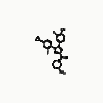 N#Cc1ccc(-c2cc(C(=O)N3CCCC(N)C3)nn2-c2ccc(C3CC3)cc2F)cc1F